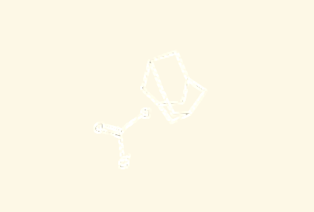 C1C2CC3CC1CC(C2)C3.O=C(Cl)Cl